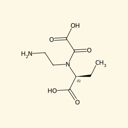 CC[C@@H](C(=O)O)N(CCN)C(=O)C(=O)O